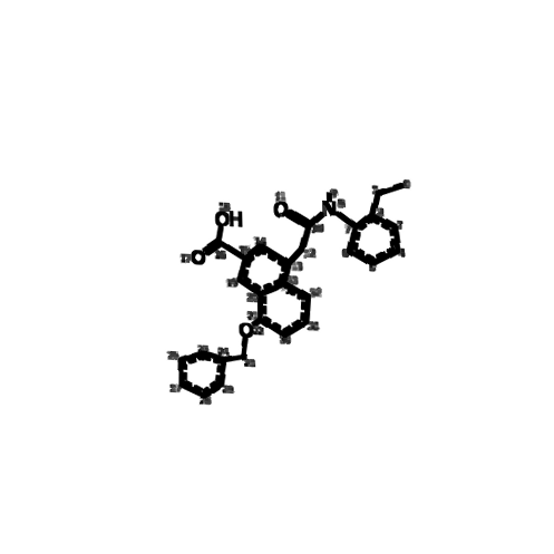 CCc1ccccc1N(C)C(=O)Cc1cc(C(=O)O)cc2c(OCc3ccccc3)cccc12